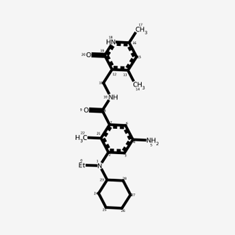 CCN(c1cc(N)cc(C(=O)NCc2c(C)cc(C)[nH]c2=O)c1C)C1CCCCC1